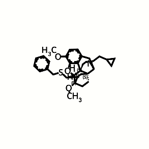 COc1ccc2c3c1O[C@H]1[C@@]4(OC)CC[C@@]5(C[C@@H]4CSCc4ccccc4)C(C2)N(CC2CC2)CC[C@]315